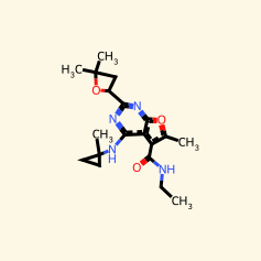 CCNC(=O)c1c(C)oc2nc(C3CC(C)(C)O3)nc(NC3(C)CC3)c12